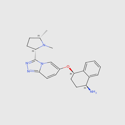 C[C@H]1CC[C@@H](c2nnc3ccc(O[C@@H]4CC[C@H](N)c5ccccc54)cn23)N1C